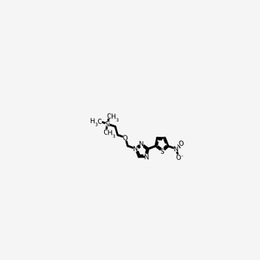 C[Si](C)(C)CCOCn1cnc(-c2ccc([N+](=O)[O-])s2)n1